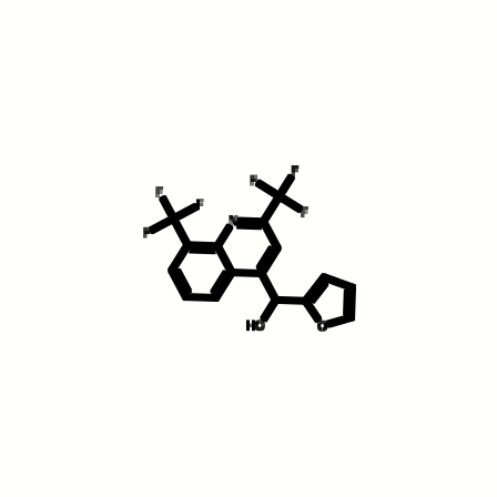 OC(c1ccco1)c1cc(C(F)(F)F)nc2c(C(F)(F)F)cccc12